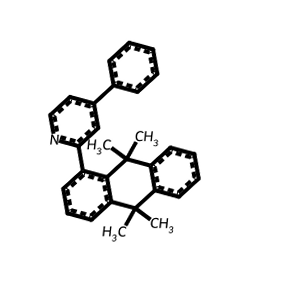 CC1(C)c2ccccc2C(C)(C)c2c(-c3cc(-c4ccccc4)ccn3)cccc21